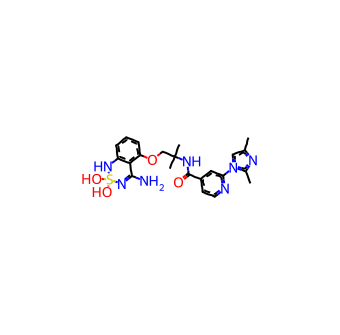 Cc1cn(-c2cc(C(=O)NC(C)(C)COc3cccc4c3C(N)=NS(O)(O)N4)ccn2)c(C)n1